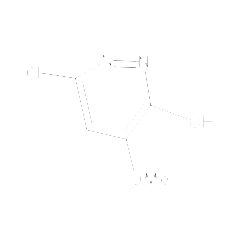 COc1cc(Cl)nnc1O